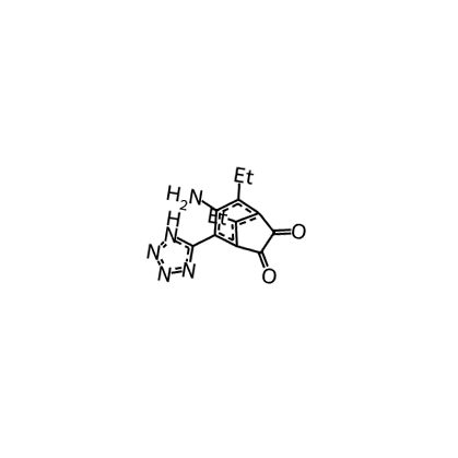 CCc1c(N)c(-c2nnn[nH]2)c2c(CC)c1C(=O)C2=O